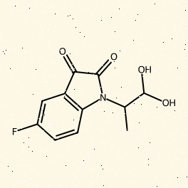 CC(C(O)O)N1C(=O)C(=O)c2cc(F)ccc21